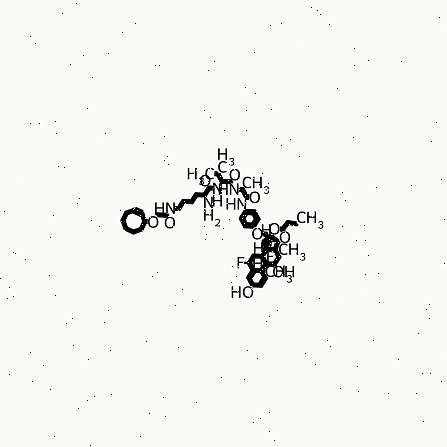 CCCC1O[C@@H]2C[C@H]3[C@@H]4C[C@H](F)C5=CC(O)C=C[C@]5(C)[C@@]4(F)[C@@H](O)C[C@]3(C)[C@]2(C(=O)COc2ccc(NC(=O)[C@H](C)NC(=O)[C@@H](NC(=O)[C@@H](N)CCCCNC(=O)COC3C#CCCCCC3)C(C)C)cc2)O1